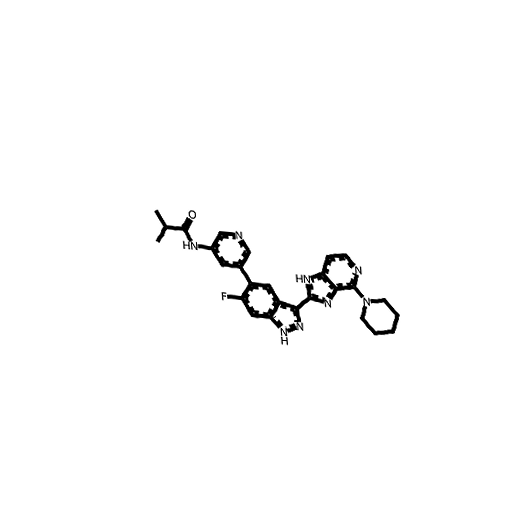 CC(C)C(=O)Nc1cncc(-c2cc3c(-c4nc5c(N6CCCCC6)nccc5[nH]4)n[nH]c3cc2F)c1